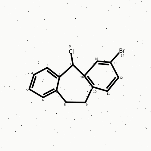 ClC1c2ccccc2CCc2ccc(Br)cc21